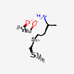 CCC(C)[O-].CCC(C)[O-].CS[CH2][Sn+2][CH2]CC(C)N